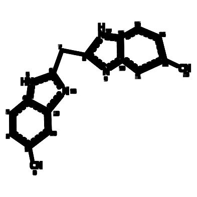 N#Cc1ccc2[nH]c(Cc3nc4cc(C#N)ccc4[nH]3)nc2c1